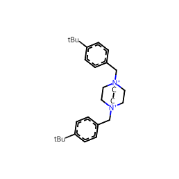 CC(C)(C)c1ccc(C[N+]23CC[N+](Cc4ccc(C(C)(C)C)cc4)(CC2)CC3)cc1